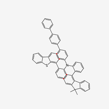 CC1(C)c2ccccc2-c2c(-c3ccccc3N(c3ccc(-c4ccc(-c5ccccc5)cc4)cc3)c3ccccc3-c3cccc4c3sc3ccccc34)cccc21